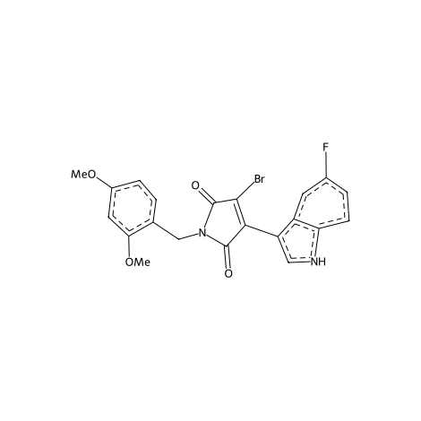 COc1ccc(CN2C(=O)C(Br)=C(c3c[nH]c4ccc(F)cc34)C2=O)c(OC)c1